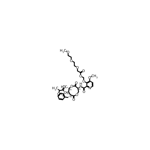 COCCOCCOCC(=O)OCOc1c(OC)ccnc1C(=O)N[C@H]1COC(=O)[C@H](Cc2ccccc2)[C@@H](OC(=O)C(C)C)[C@H](C)OC1=O